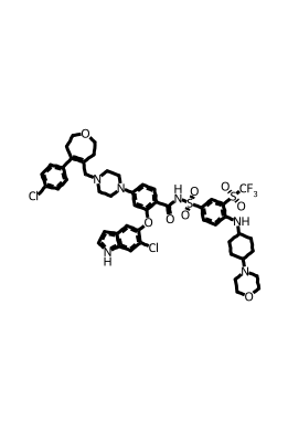 O=C(NS(=O)(=O)c1ccc(NC2CCC(N3CCOCC3)CC2)c(S(=O)(=O)C(F)(F)F)c1)c1ccc(N2CCN(CC3=C(c4ccc(Cl)cc4)CCOCC3)CC2)cc1Oc1cc2cc[nH]c2cc1Cl